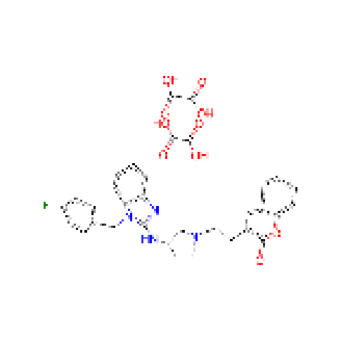 O=C(O)C(=O)O.O=C(O)C(=O)O.O=c1oc2ccccc2cc1CCN1CCC(Nc2nc3ccccc3n2Cc2ccc(F)cc2)C1